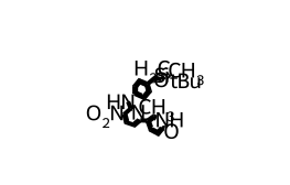 CN1C(c2ccc(=O)[nH]c2)=CC=C([N+](=O)[O-])C1Nc1ccc(CO[Si](C)(C)C(C)(C)C)cc1